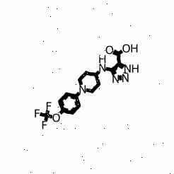 O=C(O)c1[nH]nnc1NC1CCN(c2ccc(OC(F)(F)F)cc2)CC1